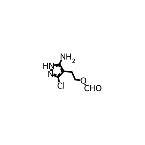 Nc1[nH]nc(Cl)c1CCOC=O